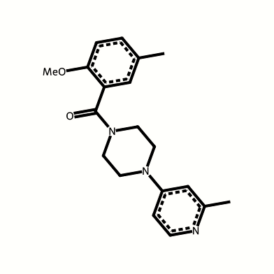 COc1ccc(C)cc1C(=O)N1CCN(c2ccnc(C)c2)CC1